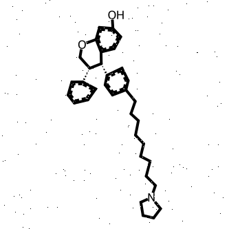 Oc1ccc2c(c1)OC[C@@H](c1ccccc1)[C@H]2c1ccc(CCCCCCCCCN2CCCC2)cc1